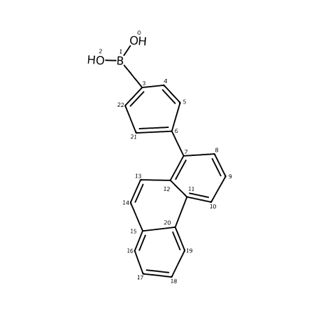 OB(O)c1ccc(-c2cccc3c2ccc2ccccc23)cc1